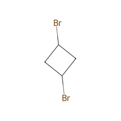 BrC1CC(Br)C1